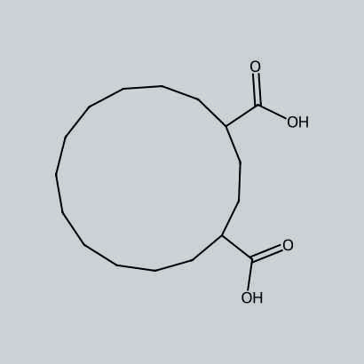 O=C(O)C1CCCCCCCCCCCC(C(=O)O)CC1